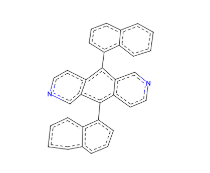 c1ccc2c(-c3c4ccncc4c(-c4cccc5ccccc45)c4ccncc34)cccc2c1